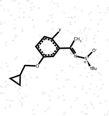 C/C(=N\[S@@+]([O-])C(C)(C)C)c1cc(OCC2CC2)ccc1F